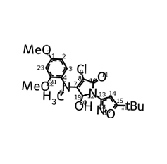 COc1ccc(N(C)C2=C(Cl)C(=O)N(c3cc(C(C)(C)C)on3)C2O)c(OC)c1